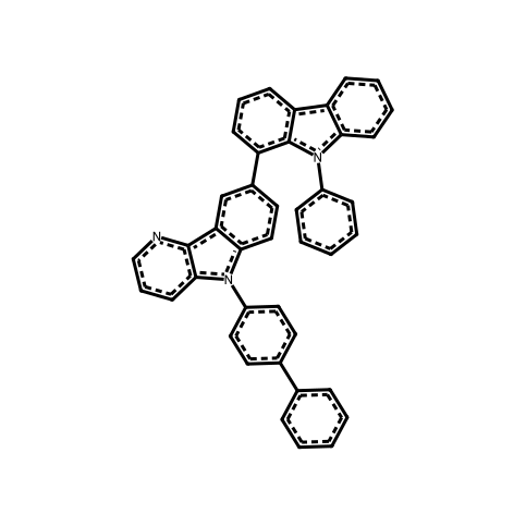 c1ccc(-c2ccc(-n3c4ccc(-c5cccc6c7ccccc7n(-c7ccccc7)c56)cc4c4ncccc43)cc2)cc1